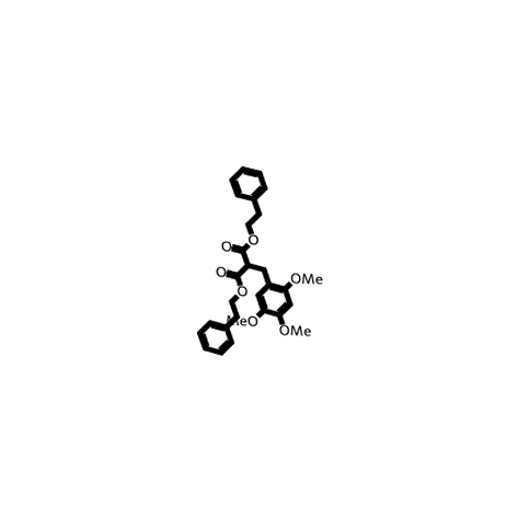 COc1cc(OC)c(OC)cc1CC(C(=O)OCCc1ccccc1)C(=O)OCCc1ccccc1